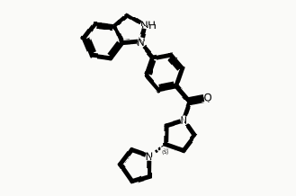 O=C(c1ccc(N2NCc3ccccc32)cc1)N1CC[C@H](N2CCCC2)C1